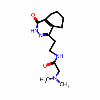 CN(C)CC(=O)NCCc1n[nH]c(=O)c2c1CCCC2